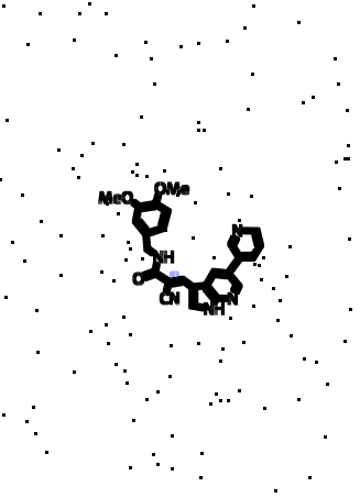 COc1ccc(CNC(=O)/C(C#N)=C/c2c[nH]c3ncc(-c4cccnc4)cc23)cc1OC